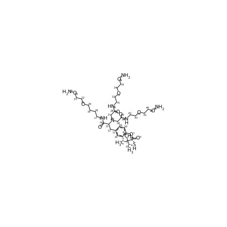 CC(C)(C)P(=O)(S)Oc1ccc(CC(C(=O)NCCCCOCCON)N(CC(=O)NCCOCCON)CC(=O)NCCOCCON)cc1